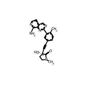 Cc1ccc(C#C[C@]2(O)CCN(C)C2=O)cc1-c1ncc2ccnc(N)c2n1